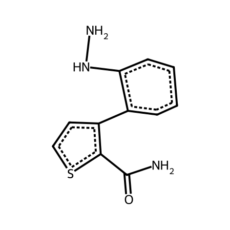 NNc1ccccc1-c1ccsc1C(N)=O